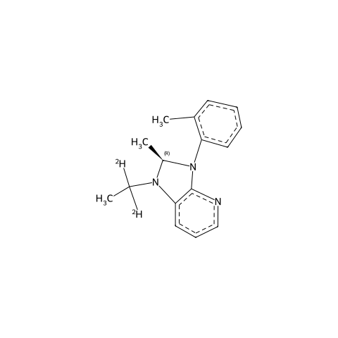 [2H]C([2H])(C)N1c2cccnc2N(c2ccccc2C)[C@@H]1C